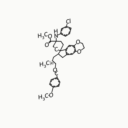 COC(=O)C1(Nc2cccc(Cl)c2)CCC2(CC1)c1cc3c(cc1CC2C[C@@H](C)COCc1ccc(OC)cc1)OCCO3